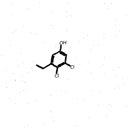 CCc1cc(O)cc(Cl)c1Cl